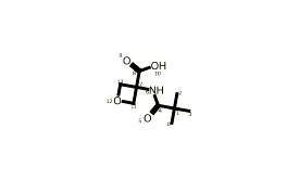 CC(C)(C)C(=O)NC1(C(=O)O)COC1